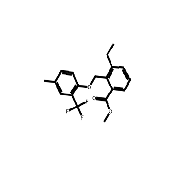 CCc1cccc(C(=O)OC)c1COc1ccc(C)cc1C(F)(F)F